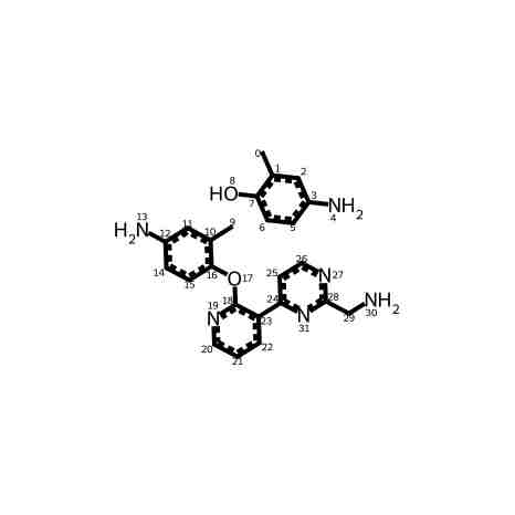 Cc1cc(N)ccc1O.Cc1cc(N)ccc1Oc1ncccc1-c1ccnc(CN)n1